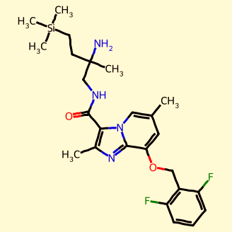 Cc1cc(OCc2c(F)cccc2F)c2nc(C)c(C(=O)NCC(C)(N)CC[Si](C)(C)C)n2c1